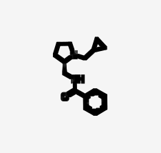 O=C(NC[C@H]1CCCN1CC1CC1)c1ccccc1